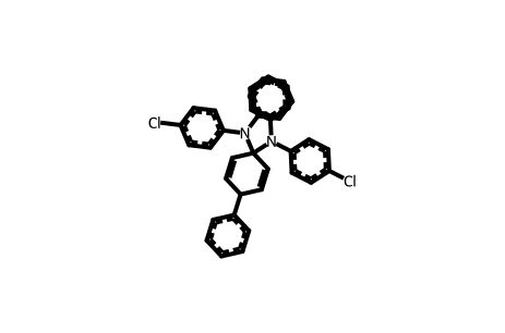 Clc1ccc(N(c2ccccc2)C2(N(c3ccccc3)c3ccc(Cl)cc3)C=CC(c3ccccc3)C=C2)cc1